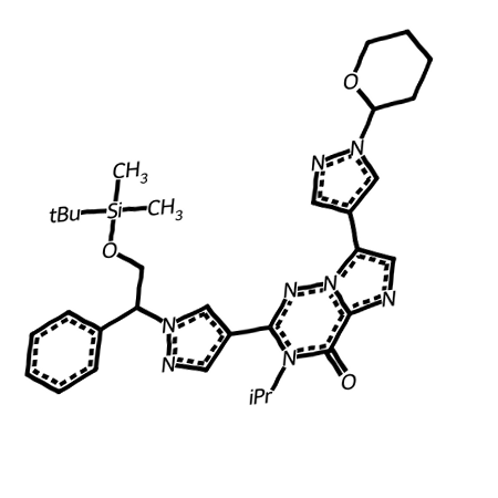 CC(C)n1c(-c2cnn(C(CO[Si](C)(C)C(C)(C)C)c3ccccc3)c2)nn2c(-c3cnn(C4CCCCO4)c3)cnc2c1=O